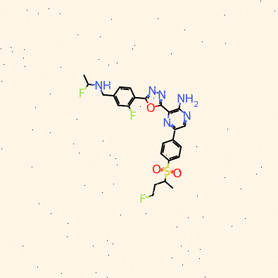 CC(F)NCc1ccc(-c2nnc(-c3nc(-c4ccc(S(=O)(=O)C(C)CCF)cc4)cnc3N)o2)c(F)c1